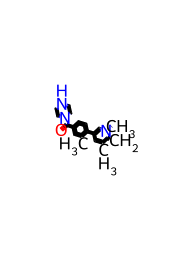 C=C1C(C)=CC(c2ccc(C(=O)N3CCNCC3)cc2C)=CN1C